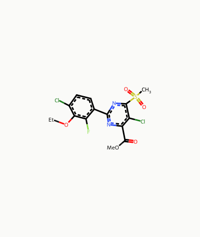 CCOc1c(Cl)ccc(-c2nc(C(=O)OC)c(Cl)c(S(C)(=O)=O)n2)c1F